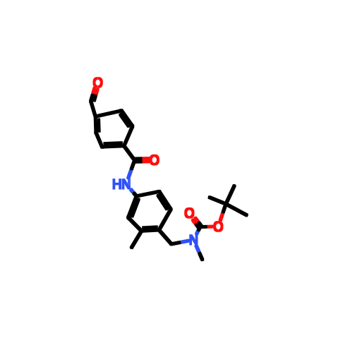 Cc1cc(NC(=O)c2ccc(C=O)cc2)ccc1CN(C)C(=O)OC(C)(C)C